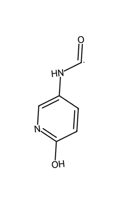 O=[C]Nc1ccc(O)nc1